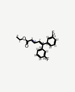 CCOC(=O)/C=C/C=C(c1cccc(F)c1)c1cccc(F)c1